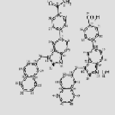 NC(=O)c1ccc(-c2ccc3nnn(Cc4ccc5ncccc5c4)c3n2)cc1.O=C(O)c1ccc(-c2ccc3nnn(Cc4ccc5ncccc5c4)c3n2)cc1.[LiH]